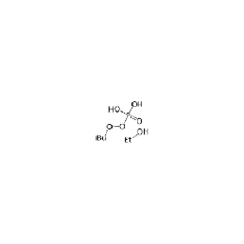 CCC(C)OOP(=O)(O)O.CCO